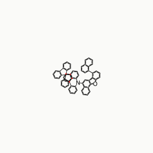 c1ccc(-c2ccccc2N(c2cccc3c2-c2ccccc2C32c3ccccc3-c3ccccc32)c2cc3c(oc4cccc(-c5cccc6ccccc56)c43)c3ccccc23)cc1